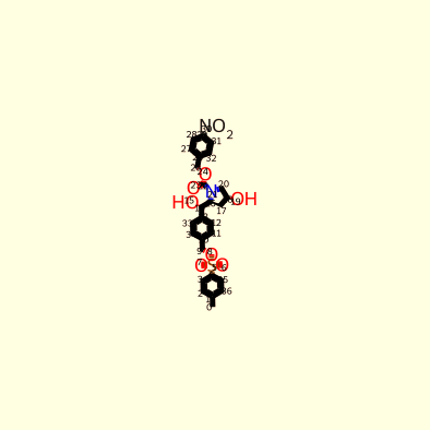 Cc1ccc(S(=O)(=O)OCc2ccc([C@H](O)[C@@H]3C[C@@H](O)CN3C(=O)OCc3ccc([N+](=O)[O-])cc3)cc2)cc1